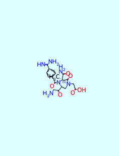 C[C@]1(C(N)=O)C(=O)N(CC(=O)O)CC(C(=O)CN)N1C(=O)c1ccc(C(=N)N)cc1